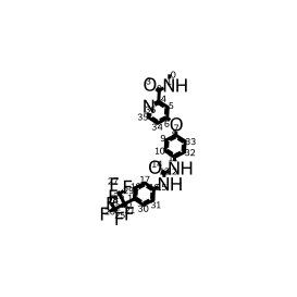 CNC(=O)c1cc(Oc2ccc(NC(=O)Nc3ccc(C(F)(C(F)(F)F)C(F)(F)F)cc3)cc2)ccn1